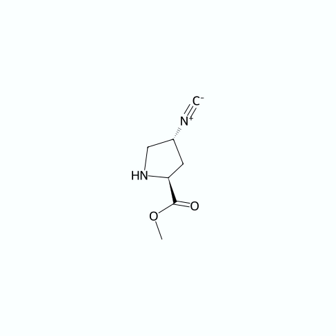 [C-]#[N+][C@H]1CN[C@H](C(=O)OC)C1